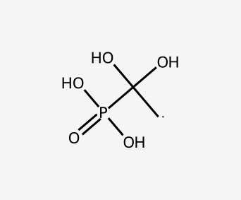 [CH2]C(O)(O)P(=O)(O)O